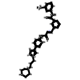 O=C(/C=C/c1cccc(C(=O)Nc2cccc(C(F)(F)F)c2)c1)Nc1ccc(-c2cn(CCCN3CCOCC3)nn2)cn1